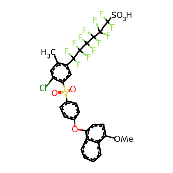 COc1ccc(Oc2ccc(S(=O)(=O)c3cc(C(F)(F)C(F)(F)C(F)(F)C(F)(F)C(F)(F)C(F)(F)S(=O)(=O)O)c(C)cc3Cl)cc2)c2ccccc12